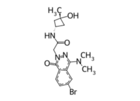 CN(C)c1nn(CC(=O)N[C@H]2C[C@@](C)(O)C2)c(=O)c2ccc(Br)cc12